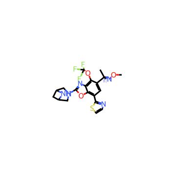 CO/N=C(\C)c1cc(-c2nccs2)c2oc(N3CC4CC(C3)N4)nc2c1OC(F)(F)F